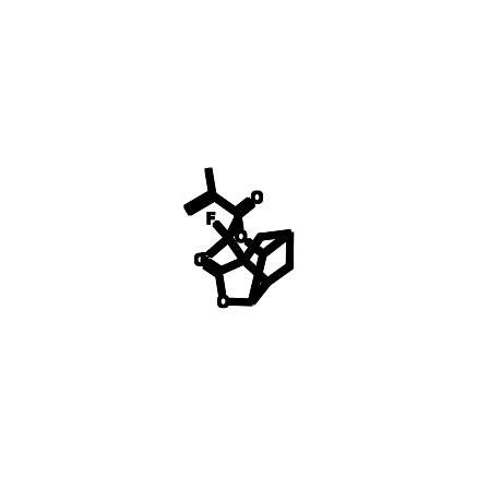 C=C(C)C(=O)OC1C2CC3C1OC(=O)C3(C(F)(F)F)C2